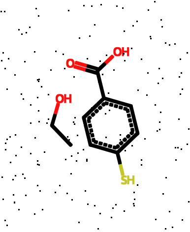 CCO.O=C(O)c1ccc(S)cc1